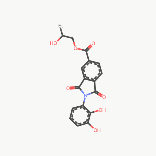 CCC(O)COC(=O)c1ccc2c(c1)C(=O)N(c1cccc(O)c1O)C2=O